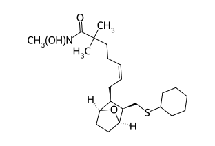 CN(O)C(=O)C(C)(C)CC/C=C\C[C@H]1[C@@H](CSC2CCCCC2)[C@H]2CC[C@@H]1O2